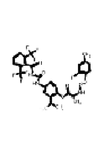 Cc1ccc(OON[C@@H](C)C(=O)Oc2ccc(NC(=O)NC(=O)c3c(C(F)(F)F)cccc3C(F)(F)F)cc2C(C)C)c(F)c1